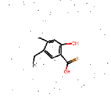 Cc1cc(O)c(C(O)=S)cc1CC(C)C